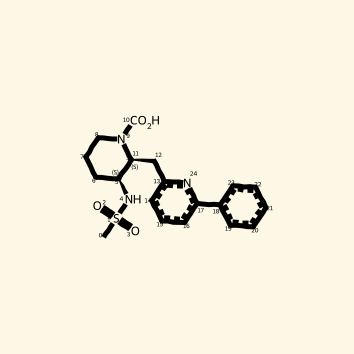 CS(=O)(=O)N[C@H]1CCCN(C(=O)O)[C@H]1Cc1cccc(-c2ccccc2)n1